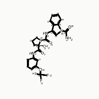 C[C@@]1(C(=O)Nc2cccc(OC(F)(F)F)c2)CCCN1C(=O)Nc1cn(C(N)=O)c2ccccc12